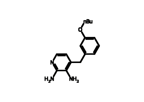 CCCCOc1cccc(Cc2ccnc(N)c2N)c1